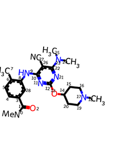 CNC(=O)c1ccc(C)c(Nc2nc(OC3CCN(C)CC3)nc(N(C)C)c2C#N)c1